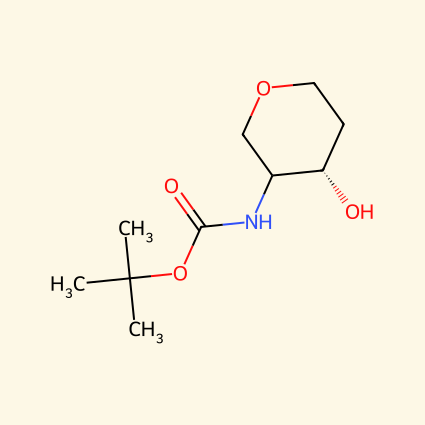 CC(C)(C)OC(=O)NC1COCC[C@@H]1O